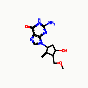 C=C1C(COC)C(O)CC1n1cnc2c(=O)[nH]c(N)nc21